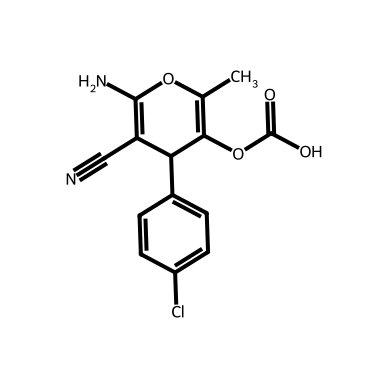 CC1=C(OC(=O)O)C(c2ccc(Cl)cc2)C(C#N)=C(N)O1